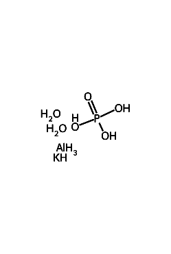 O.O.O=P(O)(O)O.[AlH3].[KH]